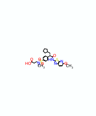 COc1ccc2nc(NC(=O)[C@H](CC3CCCC3)c3ccc(S(=O)(=O)N(C)CCC(=O)O)cc3)sc2n1